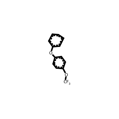 FC(F)(F)Oc1ccc(Oc2ccccc2)cc1